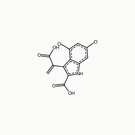 C=C(C(=O)O)c1c(C(=O)O)[nH]c2cc(Cl)cc(Cl)c12